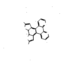 CC1=CC2=c3c(c4cccnc4c4ncccc34)=C3C=C(C)S[C@]3(C)[C@@]2(C)S1